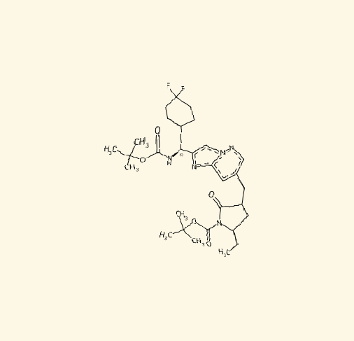 CCC1CC(Cc2cnn3cc([C@@H](NC(=O)OC(C)(C)C)C4CCC(F)(F)CC4)nc3c2)C(=O)N1C(=O)OC(C)(C)C